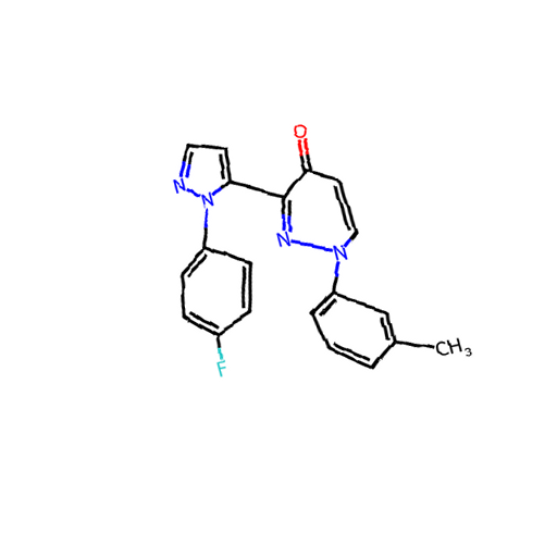 Cc1cccc(-n2ccc(=O)c(-c3ccnn3-c3ccc(F)cc3)n2)c1